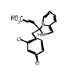 O=C(O)C=CC1(Cc2ccc(Cl)cc2Cl)NC=C2C=CC=CN21